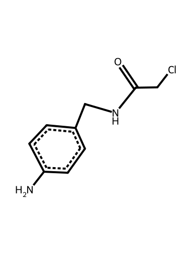 Nc1ccc(CNC(=O)CCl)cc1